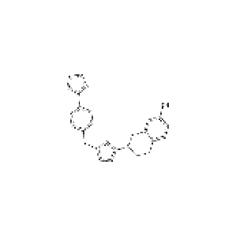 N#Cc1ccc2c(c1)CN(c1ccc(Cc3ccc(-n4cccn4)cc3)s1)CC2